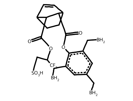 BCc1cc(CB)c(OC(=O)C2C3C=CC(CC3)C2C(=O)OC(CS(=O)(=O)O)C(F)(F)F)c(CB)c1